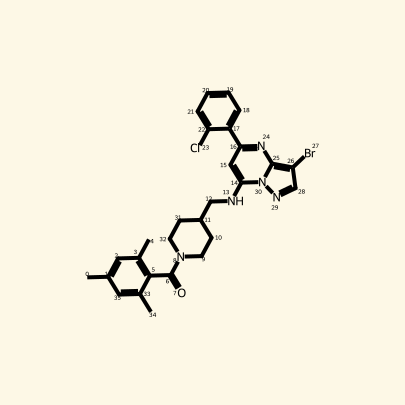 Cc1cc(C)c(C(=O)N2CCC(CNc3cc(-c4ccccc4Cl)nc4c(Br)cnn34)CC2)c(C)c1